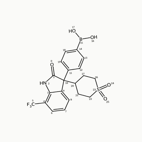 O=C1Nc2c(C(F)(F)F)cccc2C1(c1ccc(B(O)O)cc1)C1CCS(=O)(=O)CC1